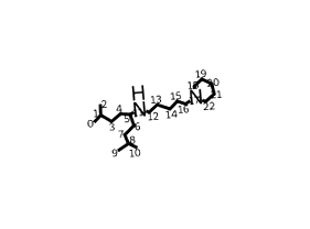 CC(C)CCC(CCC(C)C)NCCCCCN1CCCCC1